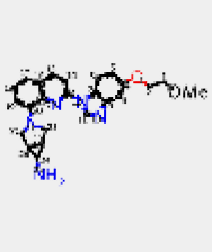 COCCOc1ccc2c(c1)ncn2-c1ccc2cccc(N3CC4C(N)C4C3)c2n1